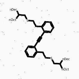 CCCCCCCCCCC(CCCCCCCC)CSCCc1ccccc1C#Cc1ccccc1CCSCC(CCCCCCCC)CCCCCCCCCC